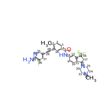 Cc1ccc(C(=O)Nc2ccc3c(c2)C(F)(F)CC3N2CCN(C)CC2)cc1C#Cc1cnc(N)c(F)c1